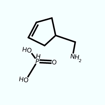 NCC1CC=CC1.O=[PH](O)O